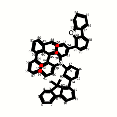 CC1(C)c2ccccc2-c2cccc(-c3cccc(N(c4cccc(-c5cccc6c5oc5ccccc56)c4)c4ccccc4-c4cccc5cccc(-c6ccccc6)c45)c3)c21